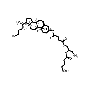 CCCCCCCCCCCCCC(=O)OC(CN)COC(=O)CCC(=O)O[C@H]1CC[C@@]2(C)C(=CC[C@H]3[C@@H]4CC[C@H]([C@H](C)CCCC(C)C)[C@@]4(C)CC[C@@H]32)C1